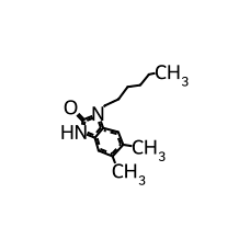 CCCCCCn1c(=O)[nH]c2cc(C)c(C)cc21